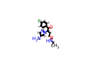 CCNOCCC(C(=O)c1ccc(F)cc1)n1cc(N)cn1